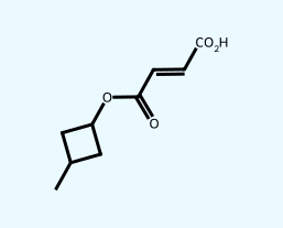 CC1CC(OC(=O)/C=C/C(=O)O)C1